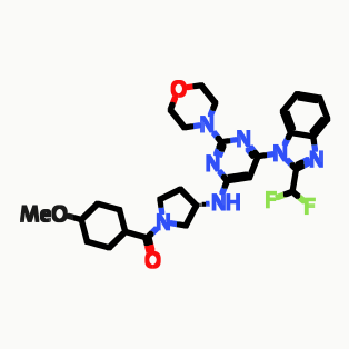 COC1CCC(C(=O)N2CC[C@H](Nc3cc(-n4c(C(F)F)nc5ccccc54)nc(N4CCOCC4)n3)C2)CC1